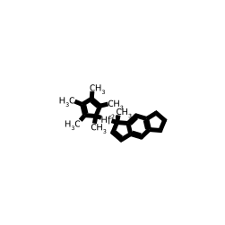 CC1=C(C)[C](C)([Hf+2][C]2(C)C=Cc3cc4c(cc32)CCC4)C(C)=C1C